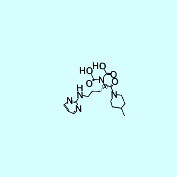 CC1CCN(C(=O)[C@H](CCCNc2ncccn2)N(C(=O)O)C(=O)O)CC1